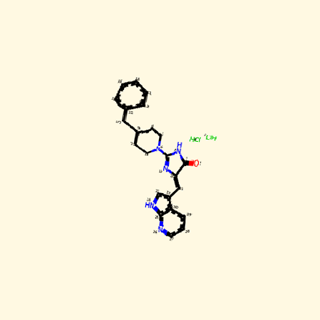 Cl.Cl.O=C1NC(N2CCC(Cc3ccccc3)CC2)=NC1=Cc1c[nH]c2ncccc12